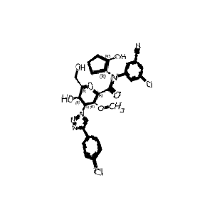 CO[C@@H]1[C@@H](n2cc(-c3ccc(Cl)cc3)nn2)[C@@H](O)[C@@H](CO)O[C@H]1C(=O)N(c1cc(Cl)cc(C#N)c1)[C@@H]1CCC[C@H]1O